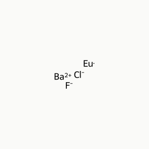 [Ba+2].[Cl-].[Eu].[F-]